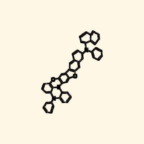 c1ccc(N2c3ccccc3B3c4cc5oc6cc7cc(N(c8ccccc8)c8cccc9ccccc89)ccc7cc6c5cc4Oc4cccc2c43)cc1